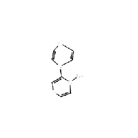 NN1C=COC=C1N1C=COC=C1